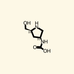 O=C(O)N[C@@H]1CN[C@H](CO)C1